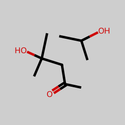 CC(=O)CC(C)(C)O.CC(C)O